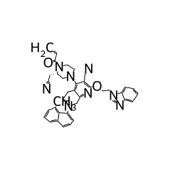 C=CC(=O)N1CCN(c2c(C#N)c(OCCn3cnc4ccccc43)nc3c2CCN(c2cccc4cccc(C)c24)C3)C[C@@H]1CC#N